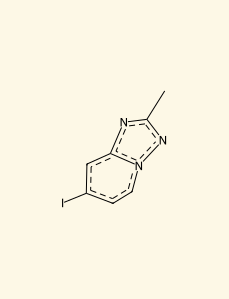 Cc1nc2cc(I)ccn2n1